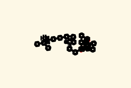 NC(/N=c1\[nH]cc(-c2ccccc2)cc1-c1ccccc1)c1ccc(-c2ccc(-c3ccc4c(c3)C3(c5ccccc5-4)c4ccccc4N(c4cccc(-c5cccc(-c6ccc(-c7nc(-c8ccccc8)nc(-c8cccc(-c9ccccc9-c9ccc%10c(c9)C9(c%11ccccc%11-%10)c%10ccccc%10N(c%10ccccc%10)c%10ccccc%109)c8)n7)cc6)c5)c4)c4ccccc43)cc2)cc1